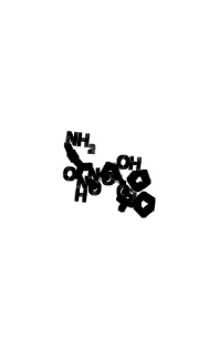 CC(C)(C)[Si](OC[C@H]1O[C@@H](n2cc(C#CCN)c(=O)[nH]c2=O)C[C@H]1O)(c1ccccc1)c1ccccc1